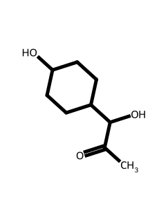 CC(=O)C(O)C1CCC(O)CC1